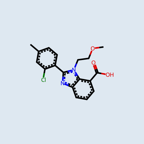 COCCn1c(-c2ccc(C)cc2Cl)nc2cccc(C(=O)O)c21